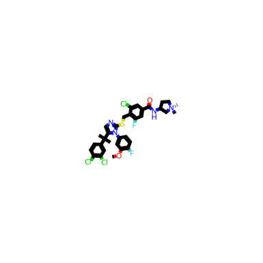 COc1cc(-n2c(C(C)(C)c3ccc(Cl)c(Cl)c3)cnc2SCc2c(F)cc(C(=O)NC3CC[N+](C)(C)C3)cc2Cl)ccc1F